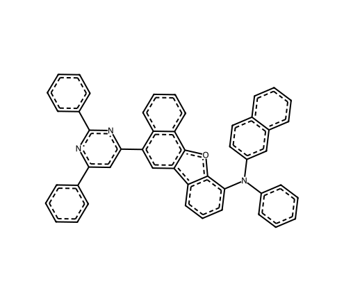 c1ccc(-c2cc(-c3cc4c5cccc(N(c6ccccc6)c6ccc7ccccc7c6)c5oc4c4ccccc34)nc(-c3ccccc3)n2)cc1